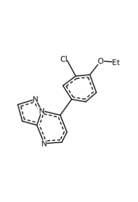 CCOc1ccc(-c2ccnc3ccnn23)cc1Cl